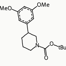 COc1cc(OC)cc(C2CCCN(C(=O)OC(C)(C)C)C2)c1